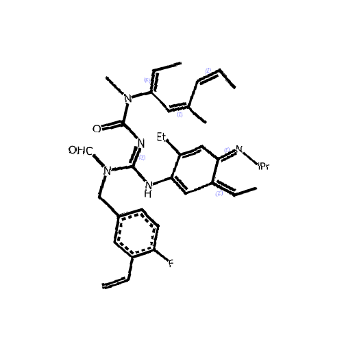 C=Cc1cc(CN(C=O)/C(=N\C(=O)N(C)C(/C=C(C)\C=C/C)=C/C)NC2=CC(=C/C)/C(=N\C(C)C)C=C2CC)ccc1F